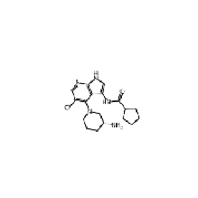 N[C@@H]1CCCN(c2c(Cl)cnc3[nH]cc(NC(=O)C4CCCC4)c23)C1